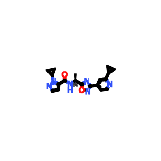 C[C@H](NC(=O)c1ccnn1C1CC1)c1nc(-c2ccnc(C3CC3)c2)no1